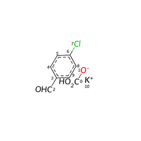 O=C([O-])O.O=Cc1ccc(Cl)cc1.[K+]